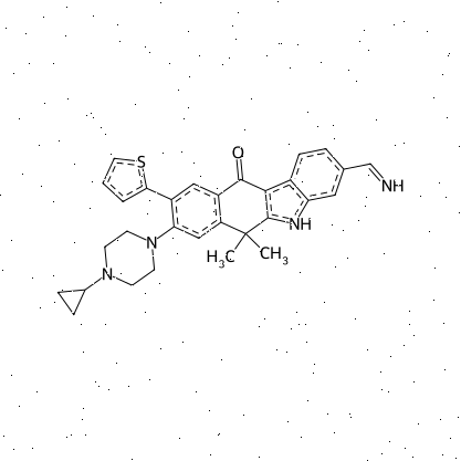 CC1(C)c2cc(N3CCN(C4CC4)CC3)c(-c3cccs3)cc2C(=O)c2c1[nH]c1cc(C=N)ccc21